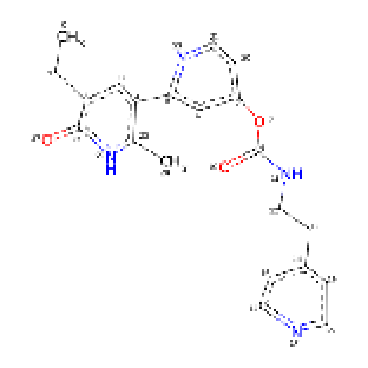 CCc1cc(-c2cc(OC(=O)NCCc3ccncc3)ccn2)c(C)[nH]c1=O